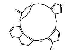 O=C1CN2CCc3cncn3Cc3ccc(Br)c(c3)Oc3ccc4cccc(c4c3)N1CC2